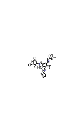 Cc1noc(/N=N/c2cc(/N=N/c3nc(Cl)nc(Cl)c3Cl)c(O)c(/N=N/c3ccnn3C)c2N(C)C)n1